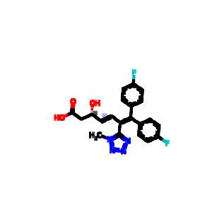 Cn1nnnc1C(/C=C/[C@@H](O)CC(=O)O)=C(c1ccc(F)cc1)c1ccc(F)cc1